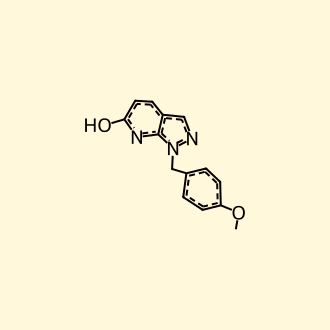 COc1ccc(Cn2ncc3ccc(O)nc32)cc1